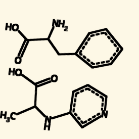 CC(Nc1cccnc1)C(=O)O.NC(Cc1ccccc1)C(=O)O